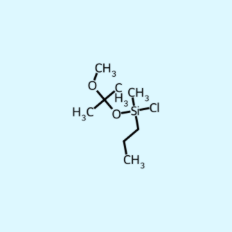 CCC[Si](C)(Cl)OC(C)(C)OC